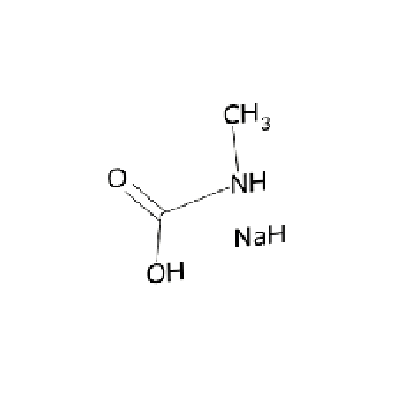 CNC(=O)O.[NaH]